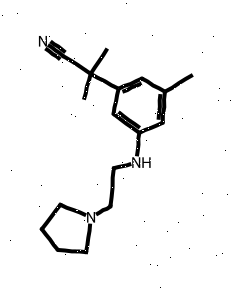 Cc1cc(NCCN2CCCC2)cc(C(C)(C)C#N)c1